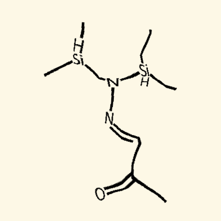 CC(=O)C=NN([SiH](C)C)[SiH](C)C